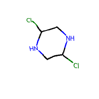 ClC1CNC(Cl)CN1